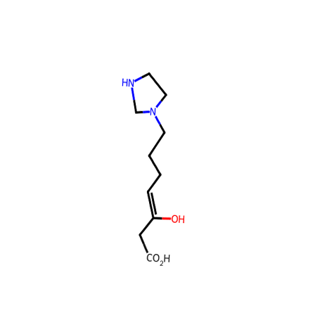 O=C(O)CC(O)=CCCCN1CCNC1